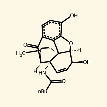 CCCCC(=O)N[C@@]12C=C[C@H](O)[C@@H]3Oc4c(O)ccc5c4[C@@]31CCN(C)[C@@H]2C5=O